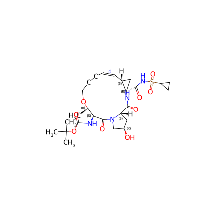 C[C@H]1OCCC/C=C\[C@@H]2C[C@@]2(C(=O)NS(=O)(=O)C2CC2)NC(=O)[C@@H]2C[C@@H](O)CN2C(=O)[C@H]1NC(=O)OC(C)(C)C